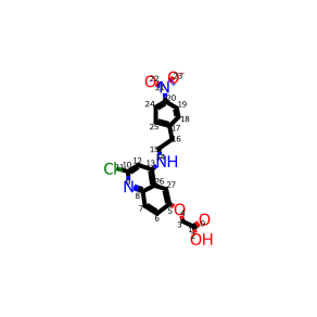 O=C(O)COc1ccc2nc(Cl)cc(NCCc3ccc([N+](=O)[O-])cc3)c2c1